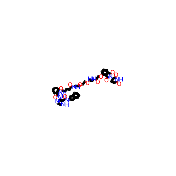 O=C(CCCC(=O)NC1(C(=O)Nc2nccnc2C(=O)NC2Cc3ccccc3C2)CCCCC1)NCCOCCOCCNC(=O)COc1cccc2c1C(=O)N(C1CCC(=O)NC1=O)C2=O